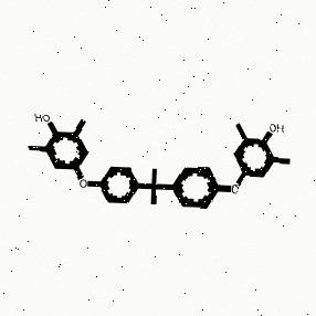 Cc1cc(Oc2ccc(C(C)(C)c3ccc(Oc4cc(C)c(O)c(C)c4)cc3)cc2)cc(C)c1O